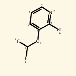 FC(F)Oc1cccnc1Br